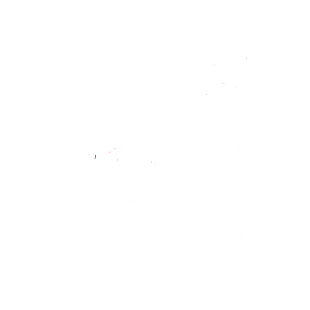 CC1(C)c2ccccc2-c2cccc(N(c3cc(-c4cccc(C5C6CC7CC(C6)CC5C7)c4)c4c(c3)C3(c5ccccc5S4)c4ccccc4-c4ccccc43)c3cccc4c3oc3ccccc34)c21